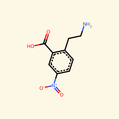 NCCc1ccc([N+](=O)[O-])cc1C(=O)O